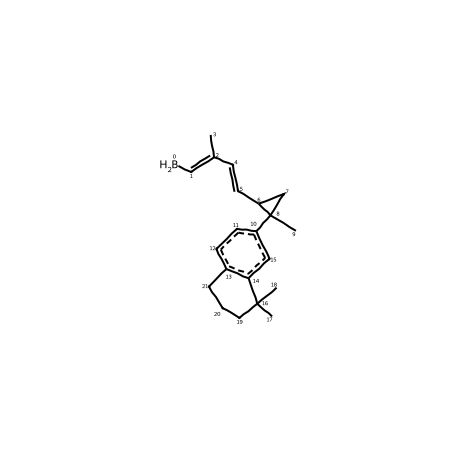 BC=C(C)C=CC1CC1(C)c1ccc2c(c1)C(C)(C)CCC2